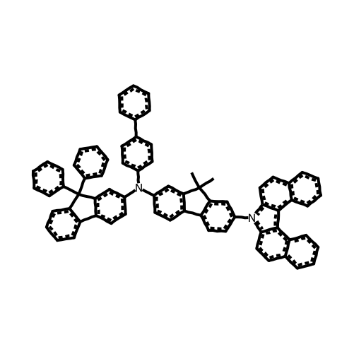 CC1(C)c2cc(N(c3ccc(-c4ccccc4)cc3)c3ccc4c(c3)C(c3ccccc3)(c3ccccc3)c3ccccc3-4)ccc2-c2ccc(-n3c4ccc5ccccc5c4c4c5ccccc5ccc43)cc21